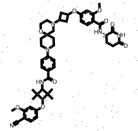 COc1cc(OC2C(C)(C)C(NC(=O)c3ccc(N4CCC5(CC4)CN(C4CC(Oc6ccc(C(=O)N[C@H]7CCC(=O)NC7=O)c(OC)c6)C4)CCO5)cc3)C2(C)C)ccc1C#N